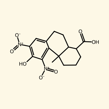 CC12CCCC(C(=O)O)C1CCc1cc([N+](=O)[O-])c(O)c([N+](=O)[O-])c12